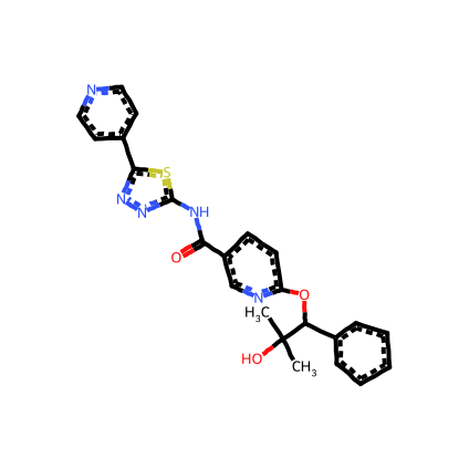 CC(C)(O)C(Oc1ccc(C(=O)Nc2nnc(-c3ccncc3)s2)cn1)c1ccccc1